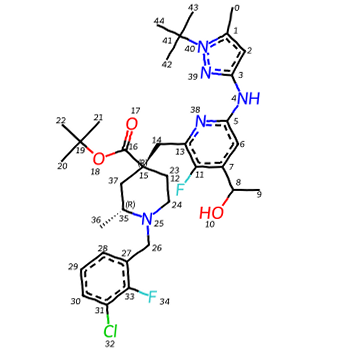 Cc1cc(Nc2cc(C(C)O)c(F)c(C[C@@]3(C(=O)OC(C)(C)C)CCN(Cc4cccc(Cl)c4F)[C@H](C)C3)n2)nn1C(C)(C)C